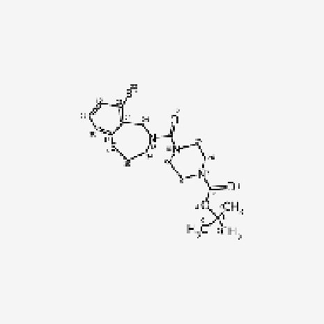 CC(C)(C)OC(=O)N1CCN(C(=O)N2CCSc3cccc(Br)c3C2)CC1